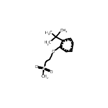 CC(C)(C)c1ccccc1OCCS(C)(=O)=O